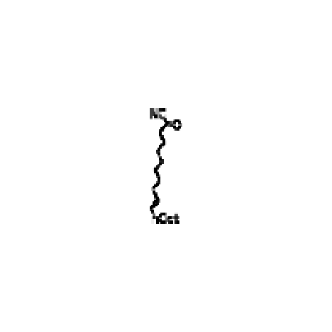 CCCCCCCCC=CCCCCCCCC(=O)C#N